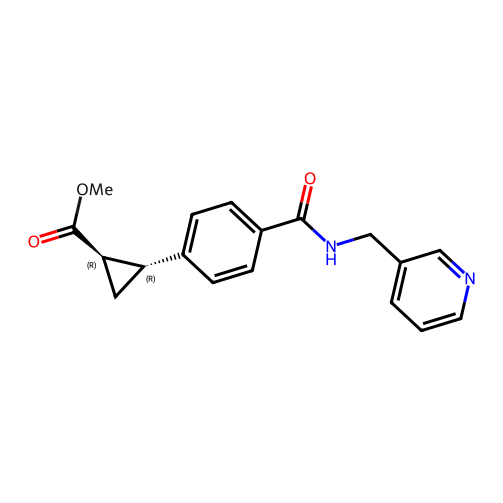 COC(=O)[C@@H]1C[C@H]1c1ccc(C(=O)NCc2cccnc2)cc1